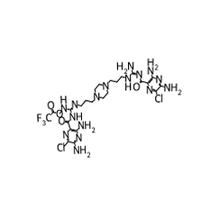 NC(=NC(=O)c1nc(Cl)c(N)nc1N)NCCCN1CCN(CCCN=C(NOC(=O)C(F)(F)F)NC(=O)c2nc(Cl)c(N)nc2N)CC1